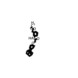 COC(=O)Cc1cccc([AsH]C(=O)COc2ccc(C34CC5CC(CC(C5)C3)C4)cc2)c1